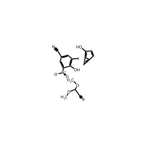 COC(C#N)OC.N#Cc1cc(I)c(O)c([N+](=O)[O-])c1.Oc1ccc2cc1-2